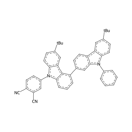 CC(C)(C)c1ccc2c(c1)c1ccc(-c3cccc4c3c3cc(C(C)(C)C)ccc3n4-c3ccc(C#N)c(C#N)c3)cc1n2-c1ccccc1